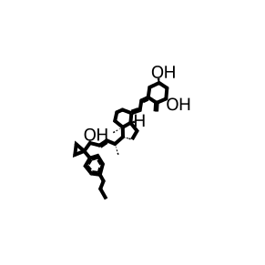 C=C1/C(=C\C=C2/CCC[C@]3(C)[C@@H]([C@H](C)/C=C/[C@@H](O)C4(c5ccc(CCC)cc5)CC4)CC[C@@H]23)C[C@@H](O)C[C@@H]1O